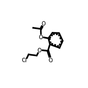 CC(=O)Oc1ccccc1C(=O)OCCCl